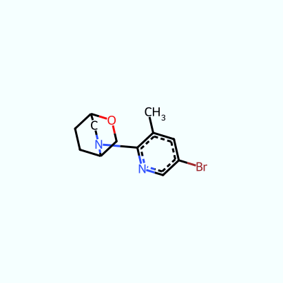 Cc1cc(Br)cnc1N1CC2CCC1CO2